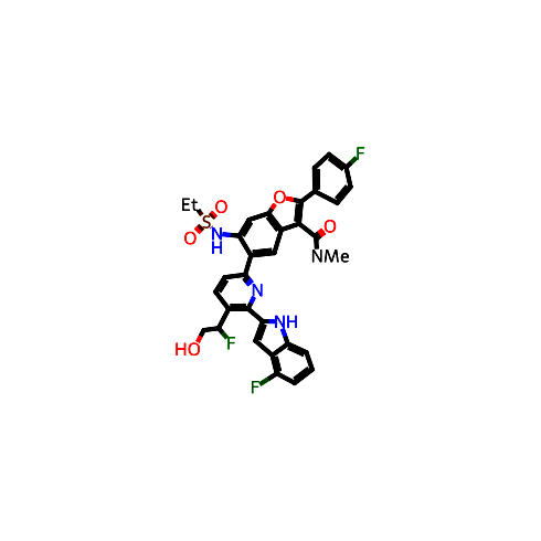 CCS(=O)(=O)Nc1cc2oc(-c3ccc(F)cc3)c(C(=O)NC)c2cc1-c1ccc(C(F)CO)c(-c2cc3c(F)cccc3[nH]2)n1